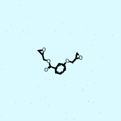 O=C(OCC1CO1)c1cccc(OCC2CO2)c1